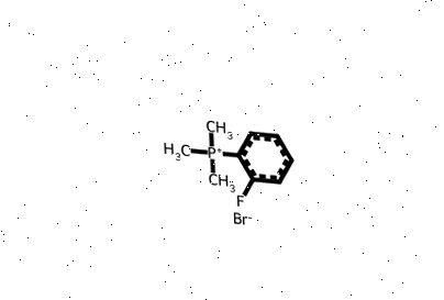 C[P+](C)(C)c1ccccc1F.[Br-]